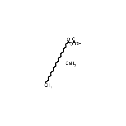 CCCCCCCCCCCCCCCCCCC(=O)OC(=O)O.[CaH2]